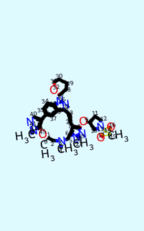 C[C@H]1CN(C)Cc2c(c(O[C@H]3CCN(S(C)(=O)=O)C3)nn2C)/C=C/c2nn(C3CCCCO3)c3ccc(cc23)-c2cnn(C)c2O1